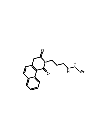 CCCNNCCCN1C(=O)Cc2ccc3ccccc3c2C1=O